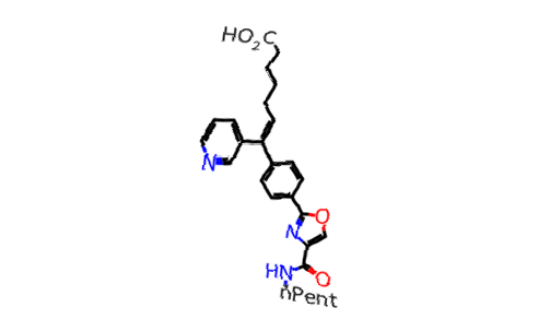 CCCCCNC(=O)c1coc(-c2ccc(C(=CCCCCC(=O)O)c3cccnc3)cc2)n1